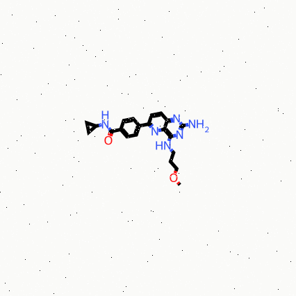 COCCCNc1nc(N)nc2ccc(-c3ccc(C(=O)NC4CC4)cc3)nc12